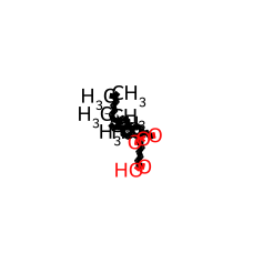 CC(C)CCC[C@@H](C)[C@H]1CC[C@H]2[C@@H]3CC=C4CC(CC=O)(OC(=O)CCCCC(=O)O)CC[C@]4(C)[C@H]3CC[C@]12C